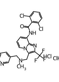 CN(Cc1cccnc1)Cc1c(C(F)(F)F)nc2c(NC(=O)c3c(Cl)cccc3Cl)cccn12.Cl.Cl